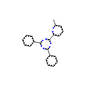 Cc1cccc(-c2nc(-c3ccccc3)nc(-c3ccccc3)n2)n1